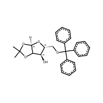 CC1(C)OC2[C@H](O[C@H](COC(c3ccccc3)(c3ccccc3)c3ccccc3)[C@H]2O)O1